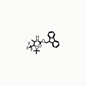 CC(NC(=O)OCC1c2ccccc2-c2ccccc21)C(OC(C)(C)C)C(F)(F)F